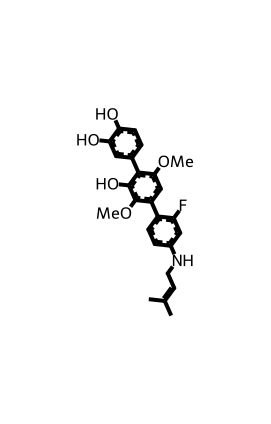 COc1cc(-c2ccc(NCC=C(C)C)cc2F)c(OC)c(O)c1-c1ccc(O)c(O)c1